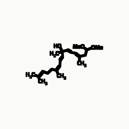 COC(CC(C)=CC=CC(C)(O)C=CC=C(C)CCC=C(C)C)OC